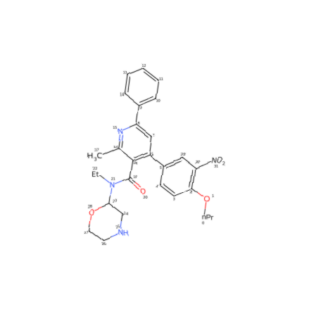 CCCOc1ccc(-c2cc(-c3ccccc3)nc(C)c2C(=O)N(CC)C2CNCCO2)cc1[N+](=O)[O-]